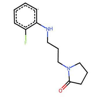 O=C1CCCN1CCCNc1[c]cccc1F